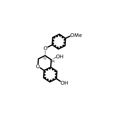 COc1ccc(O[C@H]2COc3ccc(O)cc3[C@H]2O)cc1